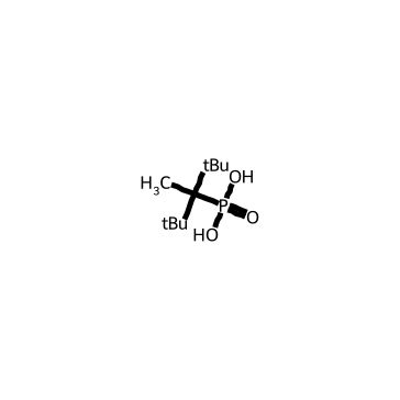 CC(C)(C)C(C)(C(C)(C)C)P(=O)(O)O